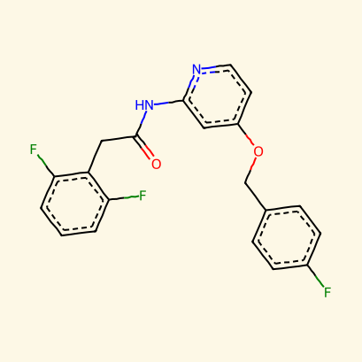 O=C(Cc1c(F)cccc1F)Nc1cc(OCc2ccc(F)cc2)ccn1